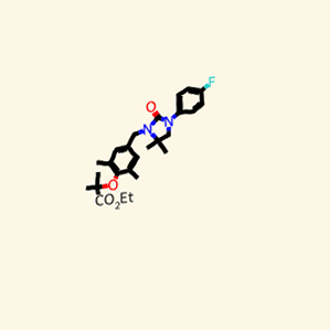 CCOC(=O)C(C)(C)Oc1c(C)cc(CN2C(=O)N(c3ccc(F)cc3)CC2(C)C)cc1C